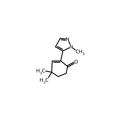 Cn1nccc1C1=CC(C)(C)CCC1=O